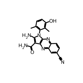 Cc1ccc(O)c(C)c1-n1c(N)c(C(N)=O)c2nc3cc(C#N)ccc3nc21